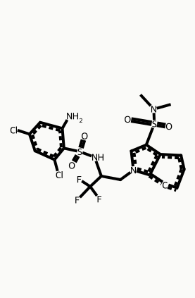 CN(C)S(=O)(=O)c1cn(CC(NS(=O)(=O)c2c(N)cc(Cl)cc2Cl)C(F)(F)F)c2ccccc12